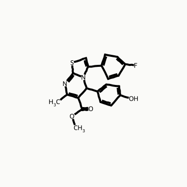 COC(=O)C1=C(C)N=C2SC=C(c3ccc(F)cc3)N2C1c1ccc(O)cc1